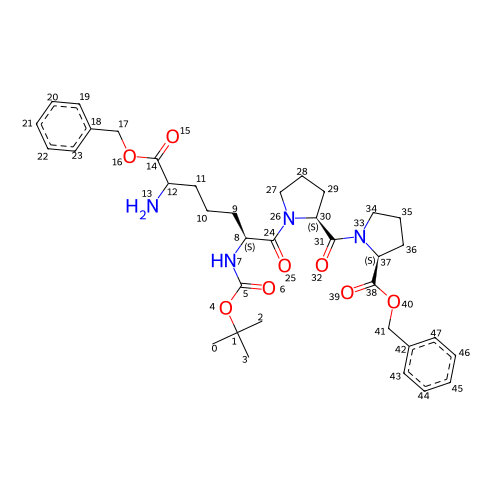 CC(C)(C)OC(=O)N[C@@H](CCCC(N)C(=O)OCc1ccccc1)C(=O)N1CCC[C@H]1C(=O)N1CCC[C@H]1C(=O)OCc1ccccc1